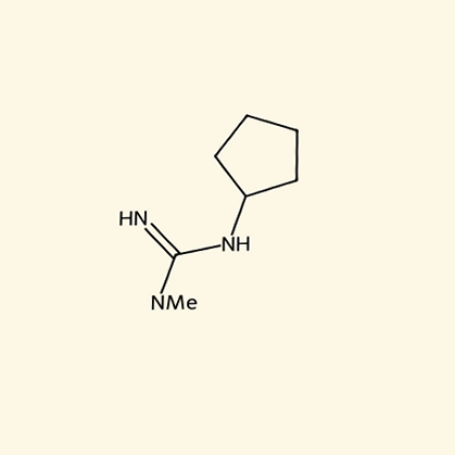 CNC(=N)NC1CCCC1